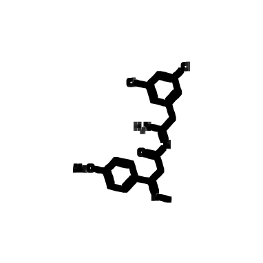 C/N=C(\CC(=O)/N=C(\N)Cc1cc(Cl)cc(Cl)c1)c1ccc(OC)cc1